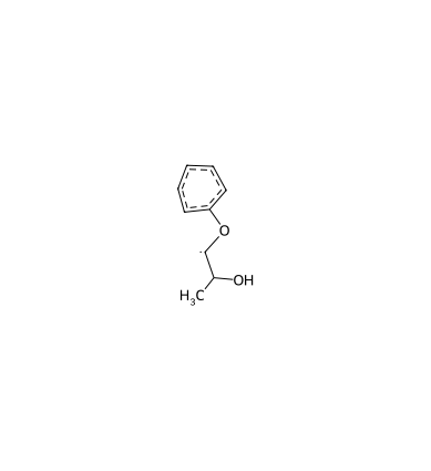 CC(O)[CH]Oc1ccccc1